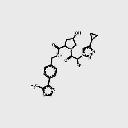 Cc1ncsc1-c1ccc(CNC(=O)C2CC(O)CN2C(=O)C(n2cc(C3CC3)nn2)C(C)(C)C)cc1